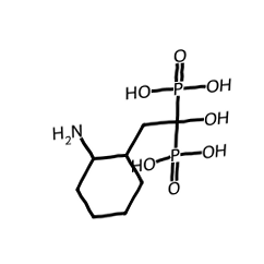 NC1CCCCC1CC(O)(P(=O)(O)O)P(=O)(O)O